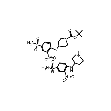 CC(C)(C)OC(=O)N1CCC(Nc2ccc(S(N)(=O)=O)cc2[N+](=O)[O-])CC1.NS(=O)(=O)c1ccc(NC2CCNCC2)c([N+](=O)[O-])c1